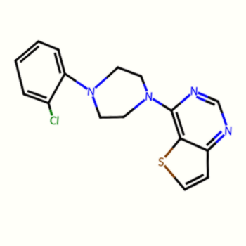 Clc1ccccc1N1CCN(c2ncnc3ccsc23)CC1